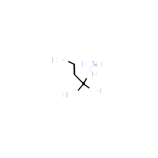 CCCC(C)(C)C.Cl.N